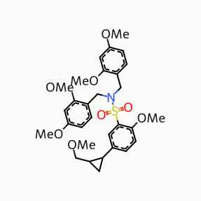 COCC1CC1c1ccc(OC)c(S(=O)(=O)N(Cc2ccc(OC)cc2OC)Cc2ccc(OC)cc2OC)c1